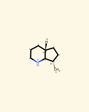 C[C@H]1CC[C@H]2CCCNC21